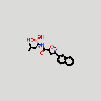 CC(C)C[C@H](NC(=O)C1CC(c2ccc3ccccc3c2)=NO1)B(O)O